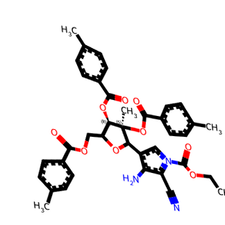 CCOC(=O)n1cc(C2OC(COC(=O)c3ccc(C)cc3)[C@@H](OC(=O)c3ccc(C)cc3)[C@@]2(C)OC(=O)c2ccc(C)cc2)c(N)c1C#N